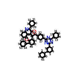 c1ccc(-c2cccc(-c3nc(-c4ccccc4)nc(-c4ccc(-c5oc6c(-c7ccccc7)nc7ccccc7c6c5-c5cccc6c5oc5ccccc56)cc4)n3)c2)cc1